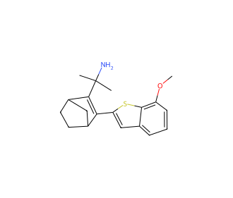 COc1cccc2cc(C3=C(C(C)(C)N)C4CCC3C4)sc12